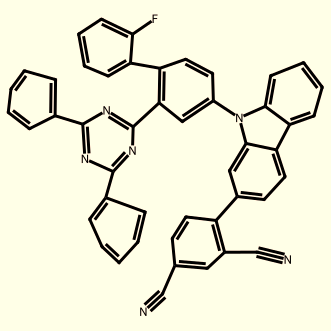 N#Cc1ccc(-c2ccc3c4ccccc4n(-c4ccc(-c5ccccc5F)c(-c5nc(-c6ccccc6)nc(-c6ccccc6)n5)c4)c3c2)c(C#N)c1